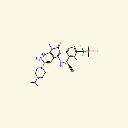 C#C[C@@H](Nc1nc(=O)n(C)c(N)c1/C=C(\N)N1CCN(C(C)C)CC1)c1cccc(C(F)(F)C(C)(C)O)c1F